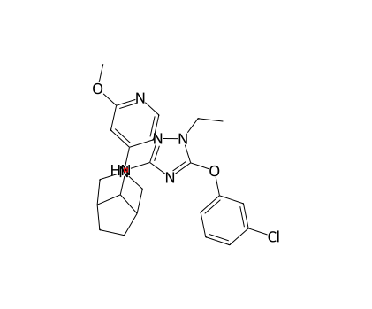 CCn1nc(NC2C3CCC2CN(c2ccnc(OC)c2)C3)nc1Oc1cccc(Cl)c1